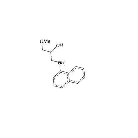 COCC(O)CNc1cccc2ccccc12